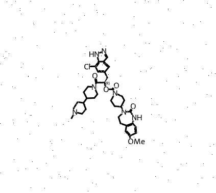 COc1ccc2c(c1)CCN(C1CCN(C(=O)O[C@H](Cc3cc(Cl)c4[nH]ncc4c3)C(=O)N3CCC(C4CCN(C)CC4)CC3)CC1)C(=O)N2